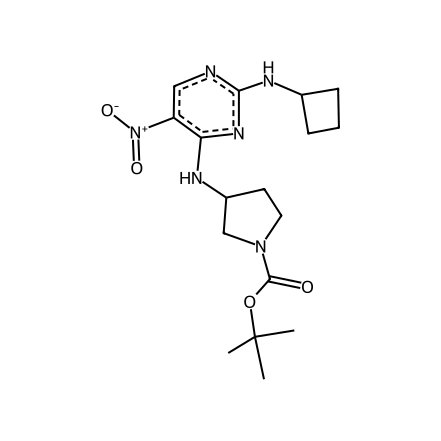 CC(C)(C)OC(=O)N1CCC(Nc2nc(NC3CCC3)ncc2[N+](=O)[O-])C1